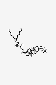 CCCCCCN(CCCCCC)CCNC(=O)CC[C@@H](C)[C@H]1CC[C@H]2[C@@H]3CCC4C[C@H](O[Si](C)(C)C(C)(C)C)CC[C@]4(C)[C@H]3CC[C@]12C